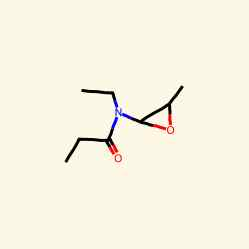 CCC(=O)N(CC)C1OC1C